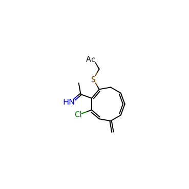 C=C1C=C=CC/C(SCC(C)=O)=C(C(C)=N)\C(Cl)=C/1